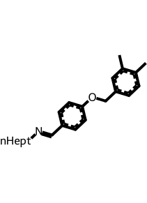 CCCCCCCN=Cc1ccc(OCc2ccc(C)c(C)c2)cc1